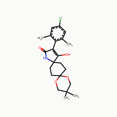 Cc1cc(Cl)cc(C)c1C1=C(O)C2(CCC3(CC2)OCC(C)(C)CO3)NC1=O